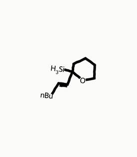 CCCCC=CC1([SiH3])CCCCO1